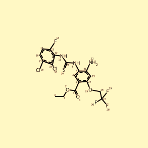 CCOC(=O)c1cc(NC(=S)Nc2c(F)ccc(Cl)c2Cl)c(N)cc1OCC(F)(F)F